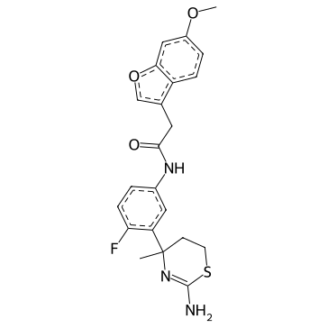 COc1ccc2c(CC(=O)Nc3ccc(F)c(C4(C)CCSC(N)=N4)c3)coc2c1